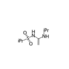 C=C(NC(C)C)NS(=O)(=O)C(C)C